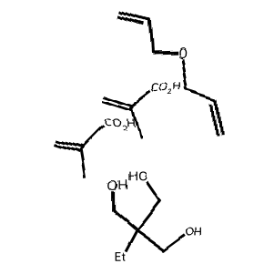 C=C(C)C(=O)O.C=C(C)C(=O)O.C=CCOCC=C.CCC(CO)(CO)CO